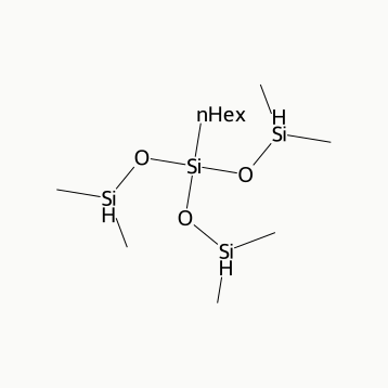 CCCCCC[Si](O[SiH](C)C)(O[SiH](C)C)O[SiH](C)C